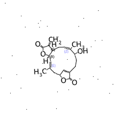 C=C1C(=O)O[C@H]2/C=C(\C)CC3C=C(CCC(O)/C(C)=C\C[C@H]12)C(=O)O3